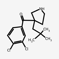 CC(C)(C)CC1(C(=O)c2ccc(Cl)c(Cl)c2)CCNC1